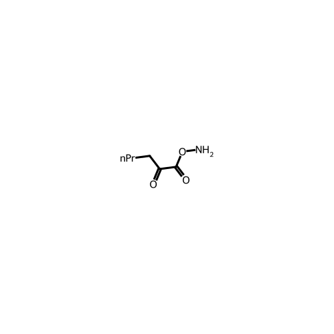 CCCCC(=O)C(=O)ON